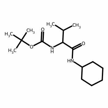 CC(C)C(NC(=O)OC(C)(C)C)C(=O)NC1CCCCC1